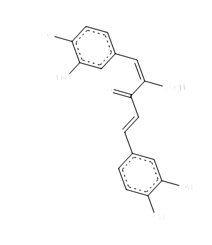 O=C(O)C(=Cc1ccc(O)c(O)c1)C(=O)C=Cc1ccc(O)c(O)c1